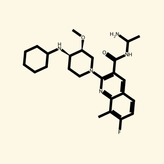 CO[C@H]1CN(c2nc3c(C)c(F)ccc3cc2C(=O)NC(C)N)CC[C@H]1NC1CCCCC1